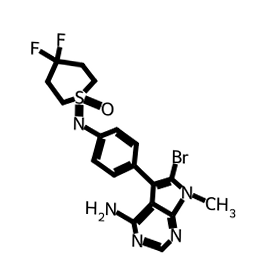 Cn1c(Br)c(-c2ccc(N=S3(=O)CCC(F)(F)CC3)cc2)c2c(N)ncnc21